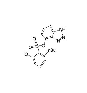 CCCCc1cccc(O)c1S(=O)(=O)Oc1cccc2[nH]nnc12